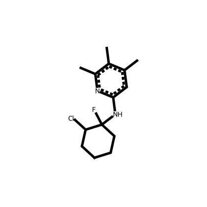 Cc1cc(NC2(F)CC[CH]CC2Cl)nc(C)c1C